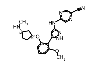 CN[C@H]1CC[C@@H](Oc2cccc(OC)c2-c2cc(Nc3cnc(C#N)cn3)n[nH]2)C1